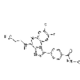 CCCNc1nc2cc(F)c(F)cc2n2c(-c3ccc(C(=O)NC4CC4)cc3)cnc12